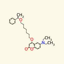 C=C(OCCCCCCCOc1cc(=O)oc2ccc(N(CC)CC)cc12)c1ccccc1